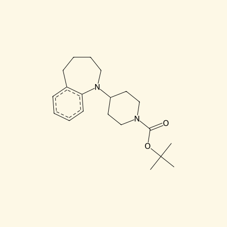 CC(C)(C)OC(=O)N1CCC(N2CCCCc3ccccc32)CC1